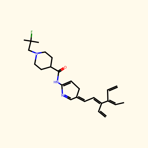 C=CC(=C\C)/C(C=C)=C/C=C1/C=NC(NC(=O)C2CCN(CC(C)(C)F)CC2)=CC1